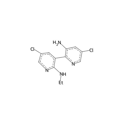 CCNc1ncc(Cl)cc1-c1ncc(Cl)cc1N